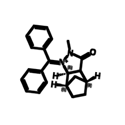 CN1C(=O)C2[C@@H]3CC[C@@H](C3)[C@H]2[N+]1=C(c1ccccc1)c1ccccc1